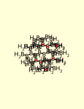 BB(B)B(B(B)B)B(B(B)B)B(B(B(B(B)B)B(B)B)B(B(B)B)B(B)B)B(B(B(B(B)B)B(B)B)B(B(B)B)B(B)B)B(B(B(B)B)B(B)B)B(B(B)B)B(B)B